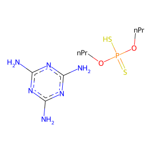 CCCOP(=S)(S)OCCC.Nc1nc(N)nc(N)n1